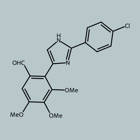 COc1cc(C=O)c(-c2c[nH]c(-c3ccc(Cl)cc3)n2)c(OC)c1OC